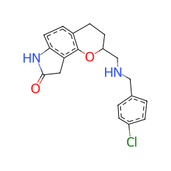 O=C1Cc2c(ccc3c2OC(CNCc2ccc(Cl)cc2)CC3)N1